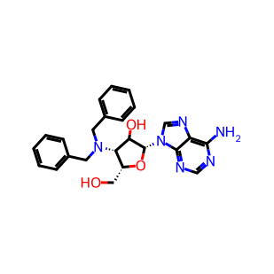 Nc1ncnc2c1ncn2[C@@H]1O[C@H](CO)[C@H](N(Cc2ccccc2)Cc2ccccc2)C1O